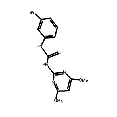 COc1cc(OC)nc(NC(=O)Nc2cccc(C(C)C)c2)n1